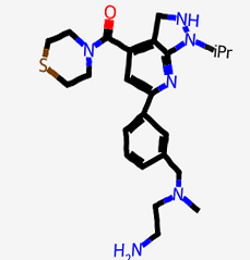 CC(C)N1NCc2c(C(=O)N3CCSCC3)cc(-c3cccc(CN(C)CCN)c3)nc21